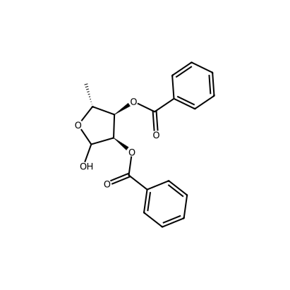 C[C@H]1OC(O)[C@H](OC(=O)c2ccccc2)[C@@H]1OC(=O)c1ccccc1